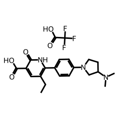 CCc1cc(C(=O)O)c(=O)[nH]c1-c1ccc(N2CCC(N(C)C)C2)cc1.O=C(O)C(F)(F)F